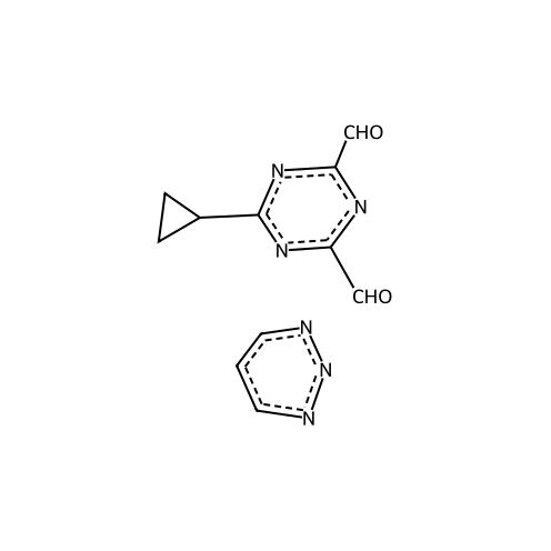 O=Cc1nc(C=O)nc(C2CC2)n1.c1cnnnc1